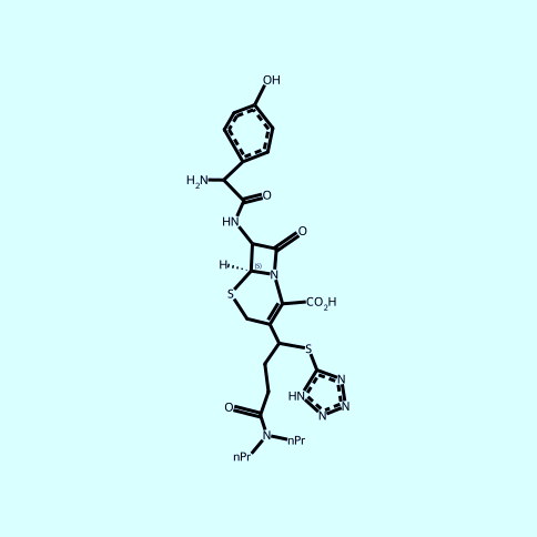 CCCN(CCC)C(=O)CCC(Sc1nnn[nH]1)C1=C(C(=O)O)N2C(=O)C(NC(=O)C(N)c3ccc(O)cc3)[C@@H]2SC1